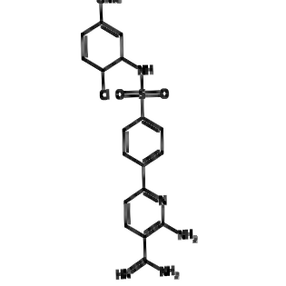 COC1=CC(NS(=O)(=O)c2ccc(-c3ccc(C(=N)N)c(N)n3)cc2)C(Cl)C=C1